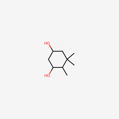 CC1C(O)CC(O)CC1(C)C